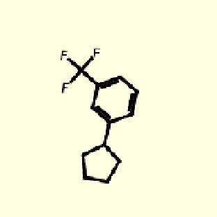 FC(F)(F)c1cccc(C2CCCC2)c1